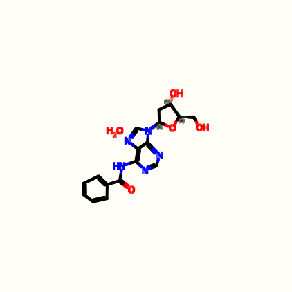 O.O=C(Nc1ncnc2c1ncn2[C@H]1C[C@H](O)[C@@H](CO)O1)c1ccccc1